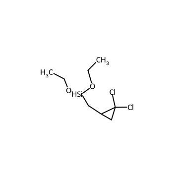 CCO[SiH](CC1CC1(Cl)Cl)OCC